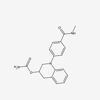 CNC(=O)c1ccc(N2CC(OC(N)=O)Cc3ccccc32)cc1